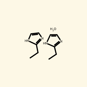 CCc1ncc[nH]1.CCc1ncc[nH]1.O